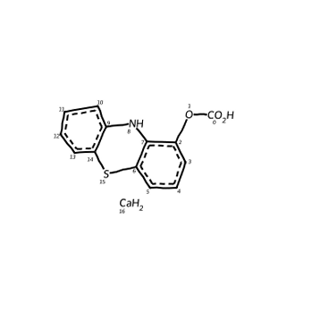 O=C(O)Oc1cccc2c1Nc1ccccc1S2.[CaH2]